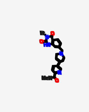 CCn1c(=O)[nH]c2cc(CN3CC=C(c4ccc(C(=O)NC)nc4)CC3)ccc2c1=O